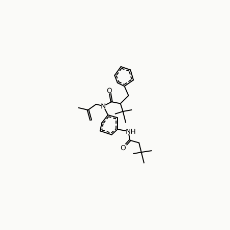 C=C(C)CN(C(=O)C(Cc1ccccc1)C(C)(C)C)c1cccc(NC(=O)CC(C)(C)C)c1